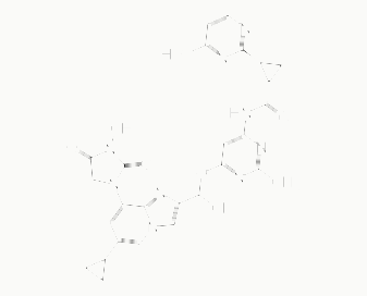 Cc1ccnc([C@H]2C[C@@H]2C(=O)Nc2cc(OC(C)c3cn4cc(C5CC5)cc(N5CC(=O)N(C)C5=O)c4n3)nc(C)n2)n1